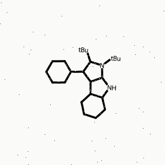 CC(C)(C)C1C(C2CCCCC2)C2C3CCCCC3NC2N1C(C)(C)C